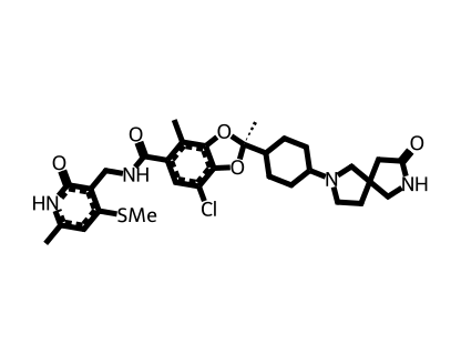 CSc1cc(C)[nH]c(=O)c1CNC(=O)c1cc(Cl)c2c(c1C)O[C@@](C)(C1CCC(N3CCC4(CNC(=O)C4)C3)CC1)O2